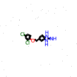 N=c1[nH]c2ccc(CCOc3ccc(Cl)cc3Cl)cc2[nH]1